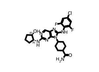 NC(=O)C1CCC(n2c(Nc3c(F)cc(Cl)cc3F)nc3cnc(N[C@@H]4CCC[C@H]4O)nc32)CC1